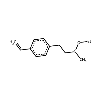 C=Cc1ccc(CCN(C)OCC)cc1